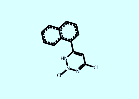 ClC1=NN(Cl)NC(c2cccc3ccccc23)=C1